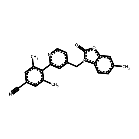 Cc1ccc2c(c1)oc(=O)n2Cc1ccnc(-c2c(C)cc(C#N)cc2C)c1